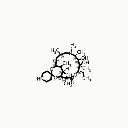 CC[C@H]1OC(=O)[C@H](C)[C@H]2OC3(CCNCC3)O[C@@](C)(C[C@@H](C)CN(C)[C@H](C)[C@@H](O)[C@]1(C)O)C(C)[C@H]2C